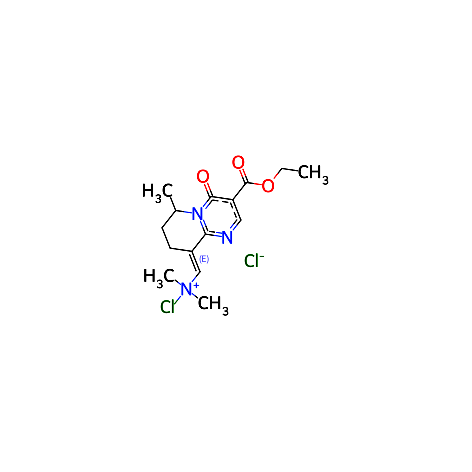 CCOC(=O)c1cnc2n(c1=O)C(C)CC/C2=C\[N+](C)(C)Cl.[Cl-]